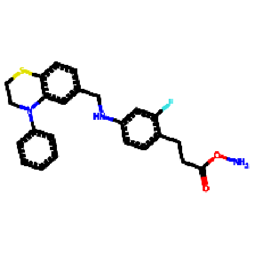 NOC(=O)CCc1ccc(NCc2ccc3c(c2)N(c2ccccc2)CCS3)cc1F